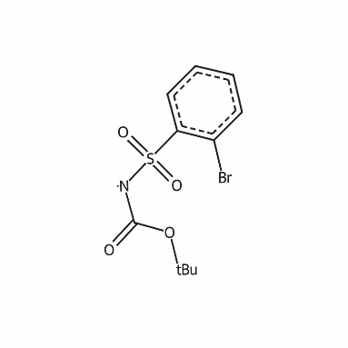 CC(C)(C)OC(=O)[N]S(=O)(=O)c1ccccc1Br